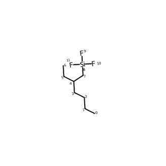 CCCCC(CC)C[Si](F)(F)F